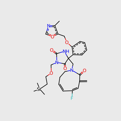 C=C1/C=C(F)\C=C/CCN(CC2(c3ccccc3OCc3ocnc3C)NC(=O)N(COCC[Si](C)(C)C)C2=O)C1=O